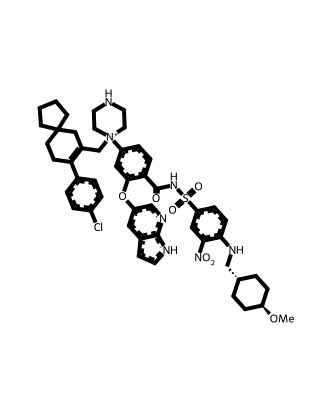 CO[C@H]1CC[C@H](CNc2ccc(S(=O)(=O)NC(=O)c3ccc([N+]4(CC5=C(c6ccc(Cl)cc6)CCC6(CCCC6)C5)CCNCC4)cc3Oc3cnc4[nH]ccc4c3)cc2[N+](=O)[O-])CC1